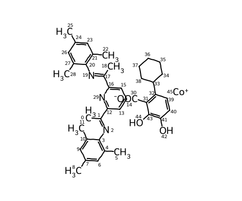 CC(=Nc1c(C)cc(C)cc1C)c1cccc(C(C)=Nc2c(C)cc(C)cc2C)n1.O=C([O-])c1c(C2CCCCC2)ccc(O)c1O.[Co+]